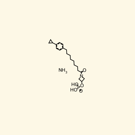 N.O=C(CCCCCCCCc1ccc(C2CC2)cc1)N1CC(OP(=O)(O)O)C1